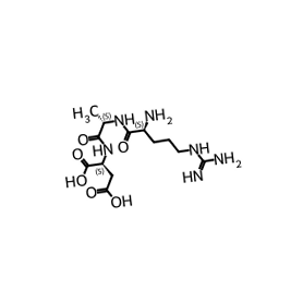 C[C@H](NC(=O)[C@@H](N)CCCNC(=N)N)C(=O)N[C@@H](CC(=O)O)C(=O)O